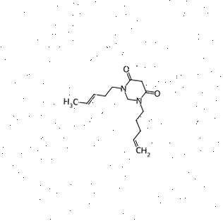 C=CCCCN1CN(CC/C=C/C)C(=O)CC1=O